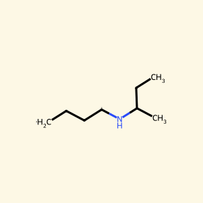 [CH2]CC[CH]NC(C)CC